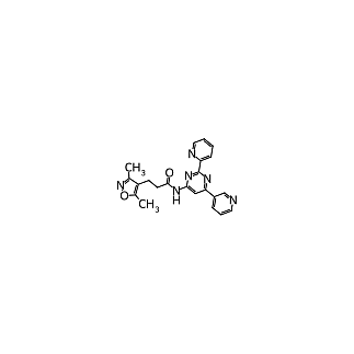 Cc1noc(C)c1CCC(=O)Nc1cc(-c2cccnc2)nc(-c2ccccn2)n1